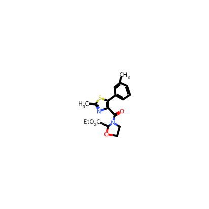 CCOC(=O)C1OCCN1C(=O)c1nc(C)sc1-c1cccc(C)c1